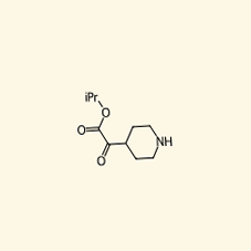 CC(C)OC(=O)C(=O)C1CCNCC1